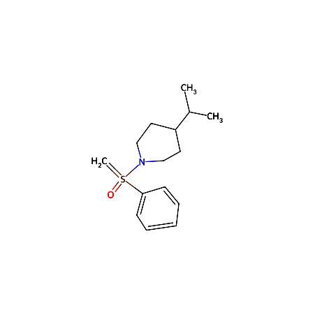 C=S(=O)(c1ccccc1)N1CCC(C(C)C)CC1